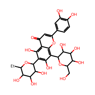 CCC1OC(c2c(O)c(C3OC(CO)C(O)C(O)C3O)c3oc(-c4ccc(O)c(O)c4)cc(=O)c3c2O)C(O)C(O)C1O